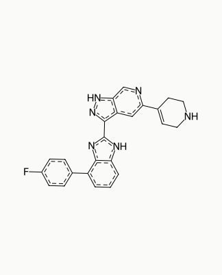 Fc1ccc(-c2cccc3[nH]c(-c4n[nH]c5cnc(C6=CCNCC6)cc45)nc23)cc1